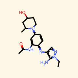 CCn1ncc(N=C2C=CC(=[N+]3CCC(O)CC3C)C=C2NC(C)=O)c1N